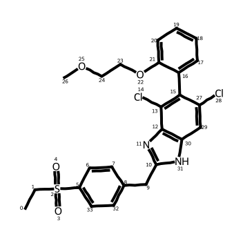 CCS(=O)(=O)c1ccc(Cc2nc3c(Cl)c(-c4ccccc4OCCOC)c(Cl)cc3[nH]2)cc1